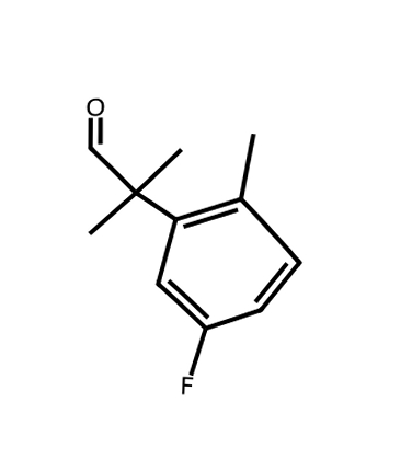 Cc1ccc(F)cc1C(C)(C)C=O